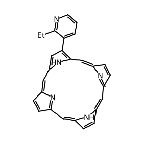 CCc1ncccc1-c1cc2cc3nc(cc4ccc(cc5nc(cc1[nH]2)C=C5)[nH]4)C=C3